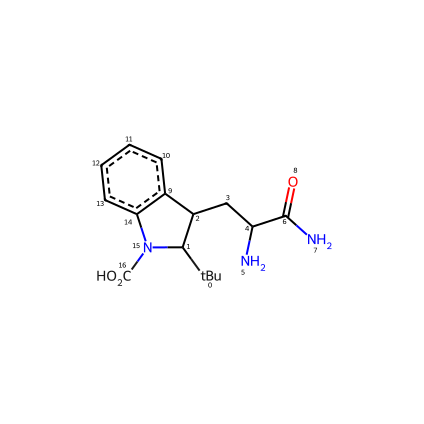 CC(C)(C)C1C(CC(N)C(N)=O)c2ccccc2N1C(=O)O